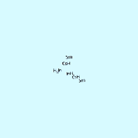 [CsH].[CsH].[InH3].[InH3].[Sm].[Sm]